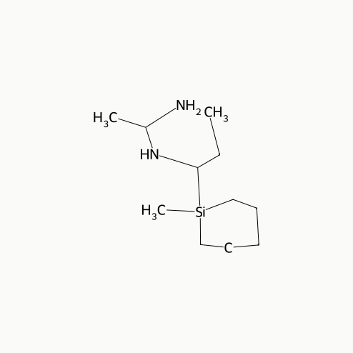 CCC(NC(C)N)[Si]1(C)CCCCC1